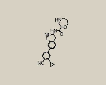 N#Cc1ccc(-c2ccc(CC(C#N)NC(=O)C3CNCCCO3)c(F)c2)cc1C1CC1